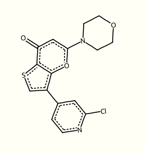 O=c1cc(N2CCOCC2)oc2c(-c3ccnc(Cl)c3)csc12